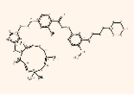 COc1ccc(/C=C/C(=O)c2ccc(OCCn3cc(CN4C(=O)/C=C/C(C)(C)CC=C(C)CCC=C4C)nn3)cc2O)cc1OCCCN1CCOCC1